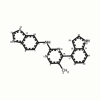 Cc1cnc(Nc2ccc3ncsc3c2)nc1-c1cccc2[nH]ccc12